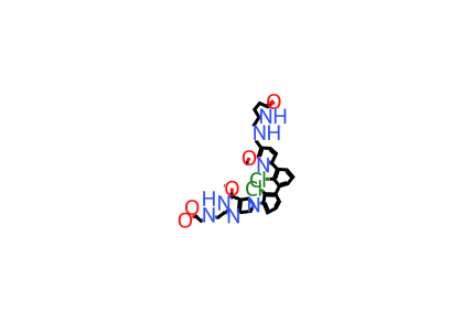 COC(=O)CNCc1nc2c(c(OC)n1)CN(c1cccc(-c3cccc(-c4ccc(CNCC5CCC(=O)N5)c(OC)n4)c3Cl)c1Cl)C2